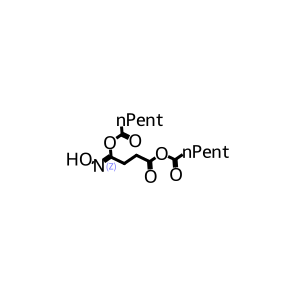 CCCCCC(=O)OC(=O)CC/C(=N/O)OC(=O)CCCCC